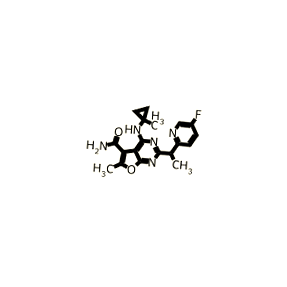 Cc1oc2nc(C(C)c3ccc(F)cn3)nc(NC3(C)CC3)c2c1C(N)=O